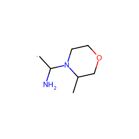 [CH2]C(N)N1CCOCC1C